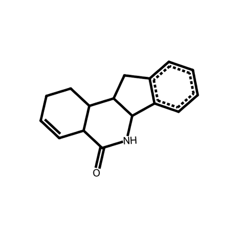 O=C1NC2c3ccccc3CC2C2CCC=CC12